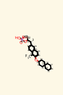 C[C@H](c1ccc2c(C(F)(F)F)c(OC3CCC4(CCCCC4)CC3)ccc2c1)C(OP(=O)(O)O)C(C)(C)C